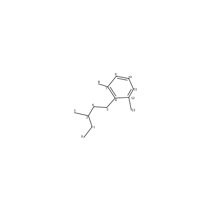 CCC(C)CCc1c(C)cccc1C